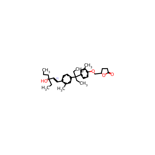 CCC[C@](O)(/C=C/c1ccc(C(CC)(CC)c2ccc(OCC3CCC(=O)O3)c(C)c2)cc1C)CC